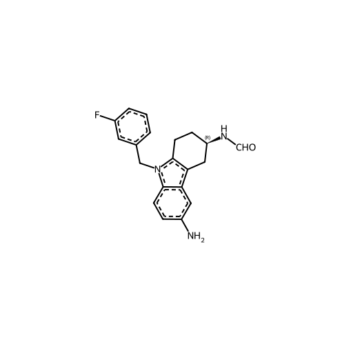 Nc1ccc2c(c1)c1c(n2Cc2cccc(F)c2)CC[C@@H](NC=O)C1